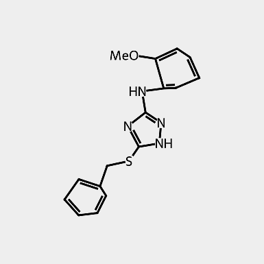 COc1ccccc1Nc1n[nH]c(SCc2ccccc2)n1